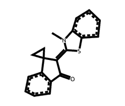 CN1/C(=C2/C(=O)c3ccccc3C23CC3)Sc2ccccc21